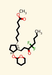 CCCCC(F)(F)C(=O)CC[C@@H]1[C@@H](CCCCCCC(=O)OC)CC[C@H]1OC1CCCCO1